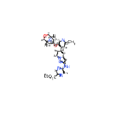 CCOC(=O)c1cnc(Nc2cc3cc(-c4cc(C)ncc4OC4C[C@H]5COC[C@@H](C4)N5C(=O)O)ccn3n2)cn1